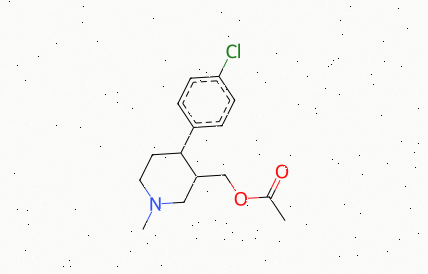 CC(=O)OCC1CN(C)CCC1c1ccc(Cl)cc1